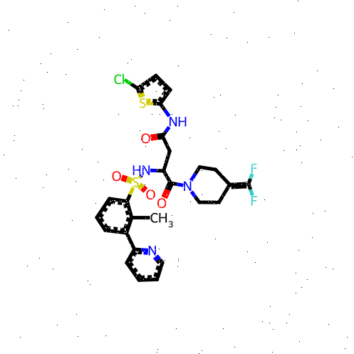 Cc1c(-c2ccccn2)cccc1S(=O)(=O)NC(CC(=O)Nc1ccc(Cl)s1)C(=O)N1CCC(=C(F)F)CC1